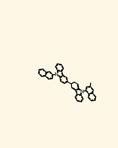 Cc1cc(-n2c3c(c4ccccc42)=CC(c2ccc4c(c2)c2ccccc2n4-c2ccc4ccccc4c2)CC=3)c2ccccc2c1